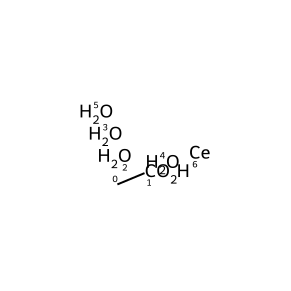 CC(=O)O.O.O.O.O.[Ce]